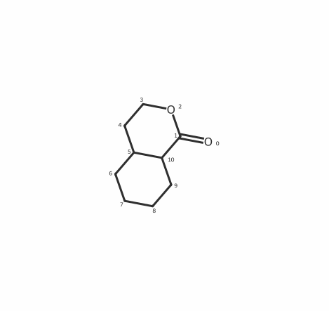 O=C1OCCC2CCCCC12